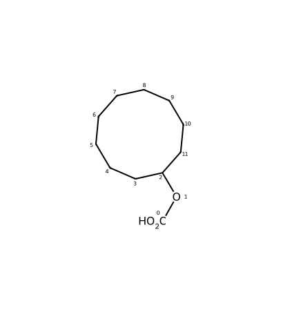 O=C(O)OC1CCCCCCCCC1